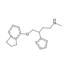 CNCCC(COc1cccc2c1CCC2)c1cccs1